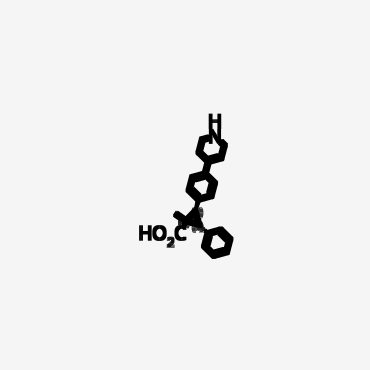 C[C@@]1(C(=O)O)[C@@H](c2ccccc2)[C@@H]1c1ccc(C2=CCNCC2)cc1